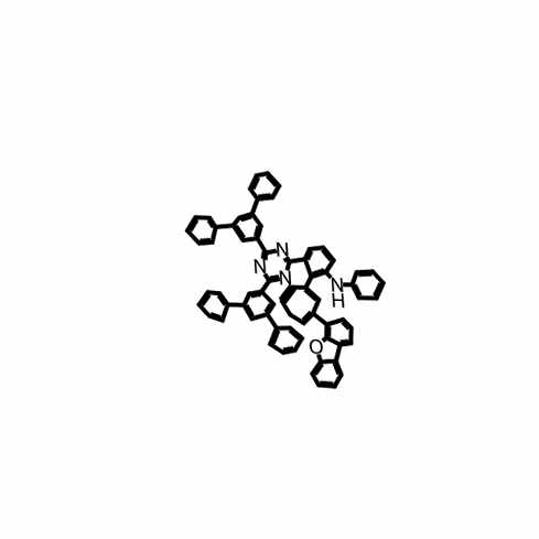 C1#CC(c2c(Nc3ccccc3)cccc2-c2nc(-c3cc(-c4ccccc4)cc(-c4ccccc4)c3)nc(-c3cc(-c4ccccc4)cc(-c4ccccc4)c3)n2)=CC(c2cccc3c2oc2ccccc23)=CC1